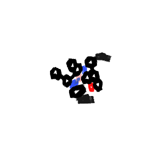 CC(C)(C)c1ccc(N2B3c4cc5oc6ccccc6c5cc4N(c4ccc(C(C)(C)C)cc4-c4ccccc4)c4cc5ccccc5c(c43)-c3cc(-c4ccccc4)ccc32)cc1